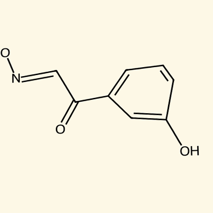 O=C(C=NO)c1cccc(O)c1